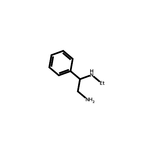 CCNC(CN)c1ccccc1